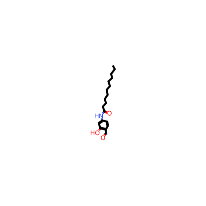 CCCCCCCCCCCC(=O)Nc1ccc([C]=O)c(O)c1